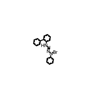 BrN(N=NNc1ccccc1-c1ccccc1)c1ccccc1